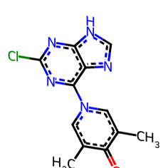 Cc1cn(-c2nc(Cl)nc3[nH]cnc23)cc(C)c1=O